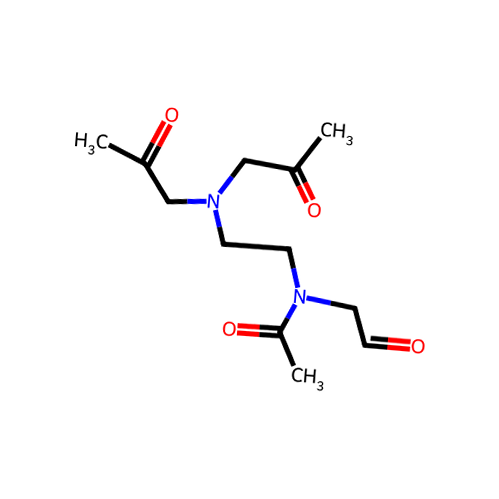 CC(=O)CN(CCN(CC=O)C(C)=O)CC(C)=O